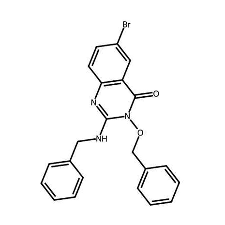 O=c1c2cc(Br)ccc2nc(NCc2ccccc2)n1OCc1ccccc1